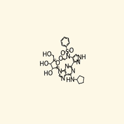 O=CN(c1c[nH]nc1-c1nc(NC2CCCC2)c2ncn([C@@H]3O[C@H](CO)C(O)C3O)c2n1)S(=O)(=O)c1ccccc1